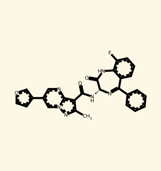 Cc1nn2cc(-c3ccoc3)cnc2c1C(=O)N[C@H]1N=C(c2ccccc2)c2cccc(F)c2NC1=O